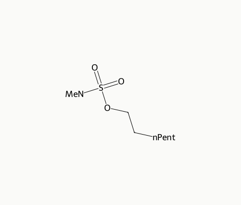 CCCCCCCOS(=O)(=O)NC